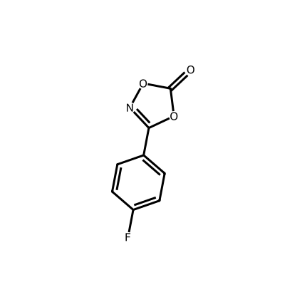 O=c1onc(-c2ccc(F)cc2)o1